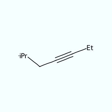 [CH2]CC#CC[C](C)C